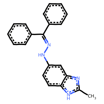 Cc1nc2cc(NN=C(c3ccccc3)c3ccccc3)ccc2[nH]1